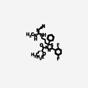 CC[C@@H](OC)C(=O)N1N=C(c2cc(F)ccc2F)SC1(CCCN/C(=N\C#N)NC)c1ccccc1